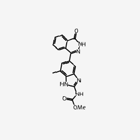 COC(=O)Nc1nc2cc(-c3n[nH]c(=O)c4ccccc34)cc(C)c2[nH]1